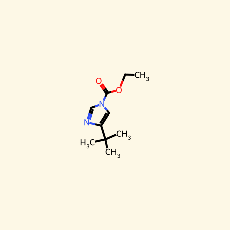 CCOC(=O)n1cnc(C(C)(C)C)c1